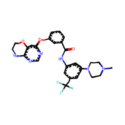 CN1CCN(c2cc(NC(=O)c3cccc(Oc4ncnc5c4OCCN5)c3)cc(C(F)(F)F)c2)CC1